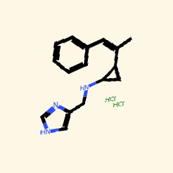 CC(=Cc1ccccc1)C1CC1NCc1c[nH]cn1.Cl.Cl